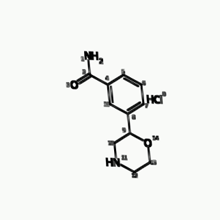 Cl.NC(=O)c1cccc(C2CNCCO2)c1